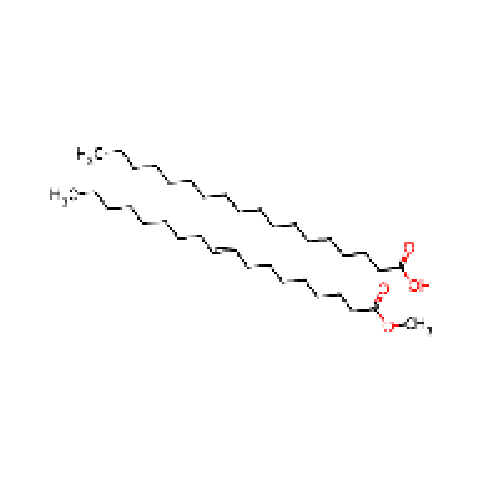 CCCCCCCCC=CCCCCCCCC(=O)OC.CCCCCCCCCCCCCCCCCC(=O)O